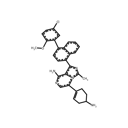 COc1[c]cc(Cl)cc1-c1ccc(-c2nc(C)n3c(C4=CCC(N)CC4)cnc(N)c23)c2ccccc12